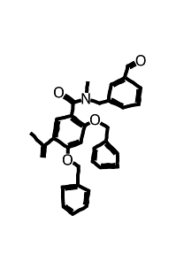 C=C(C)c1cc(C(=O)N(C)Cc2cccc(C=O)c2)c(OCc2ccccc2)cc1OCc1ccccc1